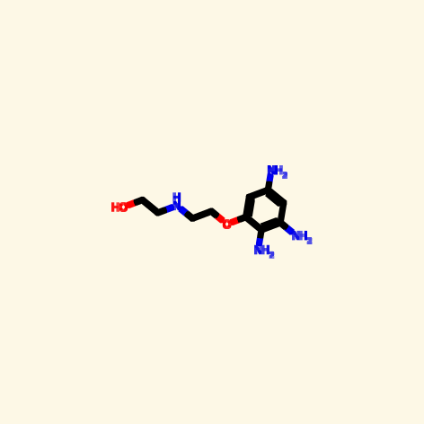 Nc1cc(N)c(N)c(OCCNCCO)c1